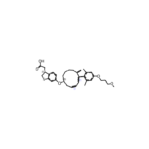 C=C1CCCC[C@H](Oc2ccc3c(c2)SC[C@H]3CC(=O)O)C/C=C\C=C/1c1c(C)cc(OCCCOC)cc1C